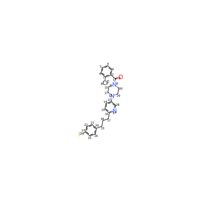 O=C(c1ccccc1C(F)(F)F)N1CCN(c2ccc(CCCc3ccc(F)cc3)nc2)CC1